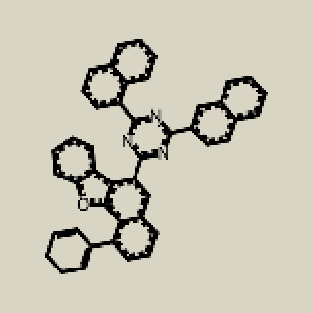 C1=CC(c2cccc3cc(-c4nc(-c5ccc6ccccc6c5)nc(-c5cccc6ccccc56)n4)c4c5ccccc5oc4c23)=CCC1